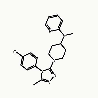 Cc1nnc(N2CCC(N(C)c3ccccn3)CC2)n1-c1ccc(Cl)cc1